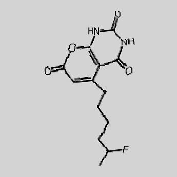 CC(F)CCCCc1cc(=O)oc2[nH]c(=O)[nH]c(=O)c12